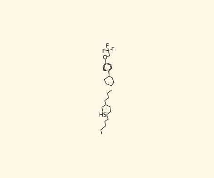 CCCCC[SiH]1CCC(CCCC[C@H]2CC[C@H](c3ccc(OCC(F)(F)F)cc3)CC2)CC1